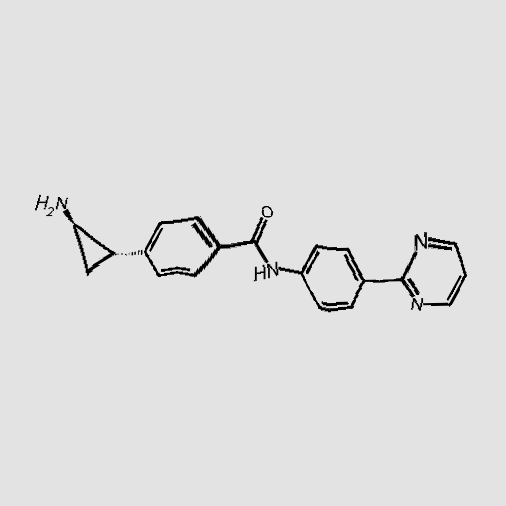 N[C@@H]1C[C@H]1c1ccc(C(=O)Nc2ccc(-c3ncccn3)cc2)cc1